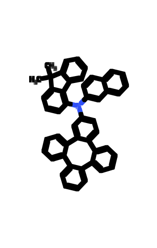 CC1(C)c2ccccc2-c2c(N(c3ccc4c(c3)-c3ccccc3-c3ccccc3-c3ccccc3-4)c3ccc4ccccc4c3)cccc21